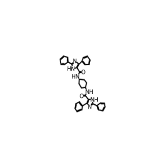 O=C(NC1CCC(NC(=O)c2[nH]c(-c3ccccc3)nc2-c2ccccc2)CC1)c1[nH]c(-c2ccccc2)nc1-c1ccccc1